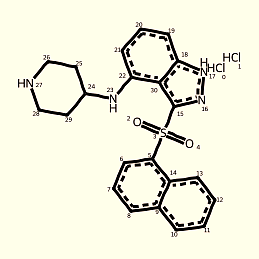 Cl.Cl.O=S(=O)(c1cccc2ccccc12)c1n[nH]c2cccc(NC3CCNCC3)c12